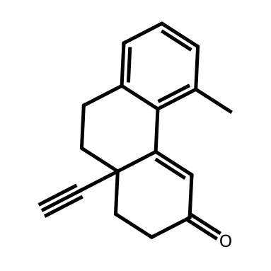 C#CC12CCC(=O)C=C1c1c(C)cccc1CC2